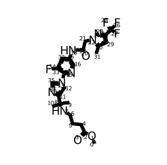 COC(=O)CCCNC(C)(C)c1cn(-c2ncc(NC(=O)Cn3nc(C(F)(F)F)cc3C)cc2F)cn1